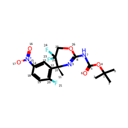 CC(C)(C)OC(=O)NC1=N[C@](C)(c2cc([N+](=O)[O-])ccc2F)C(F)(F)CO1